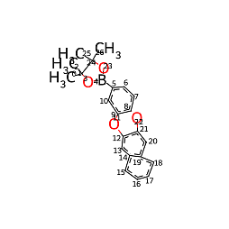 CC1(C)OB(c2ccc3c(c2)Oc2cc4ccccc4cc2O3)OC1(C)C